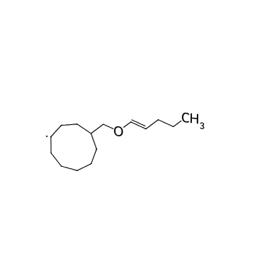 CCC/C=C/OCC1CC[CH]CCCCC1